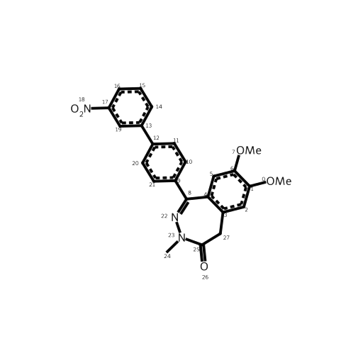 COc1cc2c(cc1OC)C(c1ccc(-c3cccc([N+](=O)[O-])c3)cc1)=NN(C)C(=O)C2